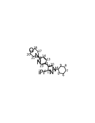 CC(C)c1nn(C2CCCCC2)cc1-c1ccc(N2CCOCC2)nc1